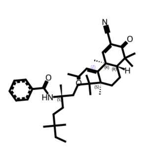 CCC(C)(C)CC[C@@](C)(CCC(C)(C)[C@]1(C)CC[C@H]2C(C)(C)C(=O)C(C#N)=C[C@]2(C)/C1=C/C(C)=O)NC(=O)c1ccccc1